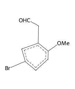 COc1ccc(Br)cc1CC=O